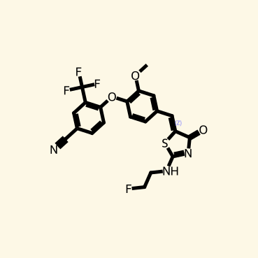 COc1cc(/C=C2\SC(NCCF)=NC2=O)ccc1Oc1ccc(C#N)cc1C(F)(F)F